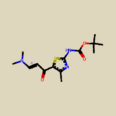 Cc1nc(NC(=O)OC(C)(C)C)sc1C(=O)/C=C/N(C)C